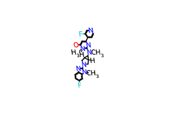 CN(c1nc(-c2ccncc2F)cc(=O)n1C)[C@H]1[C@@H]2CN(c3nc4ccc(F)cc4n3C)C[C@@H]21